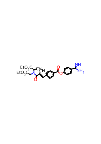 CCOC(=O)CN(C(=O)/C(C)=C/c1ccc(C(=O)Oc2ccc(C(=N)N)cc2)cc1)[C@H](C)C(=O)OCC